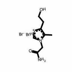 Br.Cc1c(CCO)sc[n+]1CC(N)=O.[Br-]